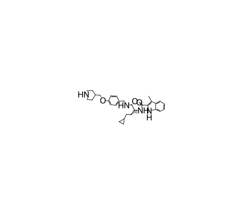 Cc1c(C(=O)N[C@@H](CCC2CC2)C(=O)NCc2ccc(OCC3CCNCC3)cc2)[nH]c2ccccc12